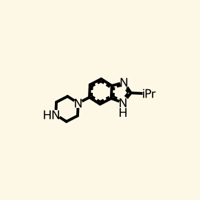 CC(C)c1nc2ccc(N3CCNCC3)cc2[nH]1